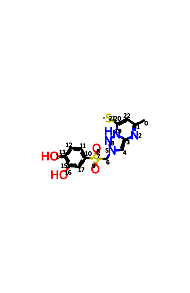 CC1=NC2=CN(CS(=O)(=O)c3ccc(O)c(O)c3)NN2C([S])=C1